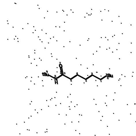 CC(C)(C)CCCCCC(=O)NC(C)(C)C